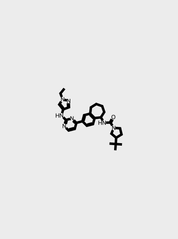 CCn1cc(Nc2nccc(-c3ccc4c(c3)CCCCC4NC(=O)N3CCC(C(C)(C)C)C3)n2)cn1